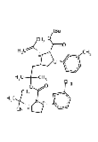 C=C(C)[C@H]1C(CC(C)(C)OC(=O)N2[C@H](c3cccc(C)c3)CC[C@@H]2C(C)(C)C#N)C[C@@H](c2cccc(C)c2)N1C(=O)OC(C)(C)C